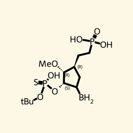 BC1C[C@H](CCP(=O)(O)O)[C@@H](OC)[C@H]1OP(O)(=S)OC(C)(C)C